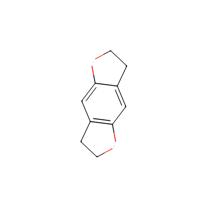 c1c2c(cc3c1OCC3)OCC2